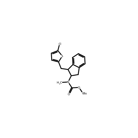 CN(C(=O)OC(C)(C)C)C1Cc2ccccc2C1Cc1ccc(Cl)s1